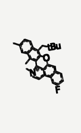 Cc1ccc2c(CC(C)(C)C)c3c(c(C)c2c1)-c1c2c(cc4ccc(F)cc4c2cc[n+]1C)O3